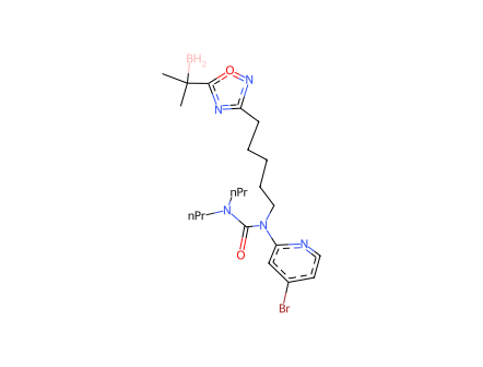 BC(C)(C)c1nc(CCCCCN(C(=O)N(CCC)CCC)c2cc(Br)ccn2)no1